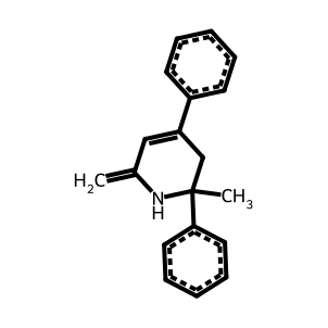 C=C1C=C(c2ccccc2)CC(C)(c2ccccc2)N1